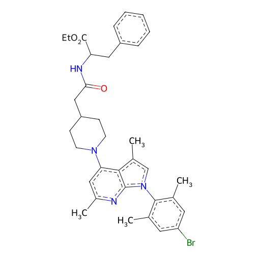 CCOC(=O)C(Cc1ccccc1)NC(=O)CC1CCN(c2cc(C)nc3c2c(C)cn3-c2c(C)cc(Br)cc2C)CC1